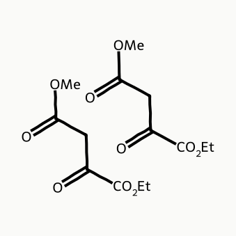 CCOC(=O)C(=O)CC(=O)OC.CCOC(=O)C(=O)CC(=O)OC